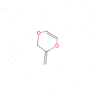 C=C1COC=CO1